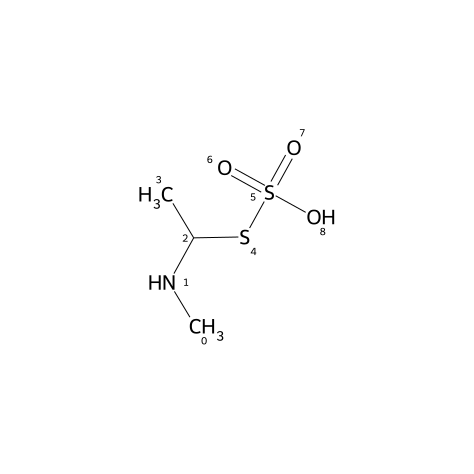 CNC(C)SS(=O)(=O)O